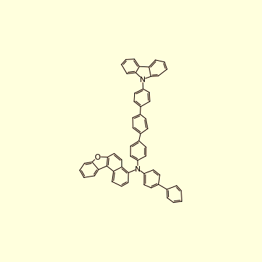 c1ccc(-c2ccc(N(c3ccc(-c4ccc(-c5ccc(-n6c7ccccc7c7ccccc76)cc5)cc4)cc3)c3cccc4c3ccc3oc5ccccc5c34)cc2)cc1